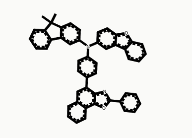 CC1(C)c2ccccc2-c2cc(N(c3ccc(-c4cc5ccccc5c5oc(-c6ccccc6)nc45)cc3)c3ccc4oc5ccccc5c4c3)ccc21